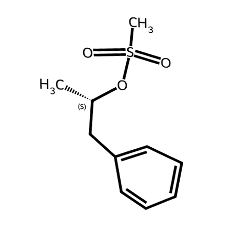 C[C@@H](Cc1ccccc1)OS(C)(=O)=O